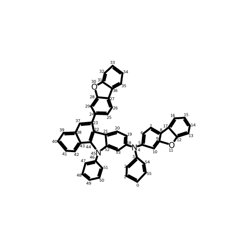 c1ccc(N(c2ccc3c(c2)oc2ccccc23)c2ccc3c4c(-c5ccc6c(c5)oc5ccccc56)cc5ccccc5c4n(-c4ccccc4)c3c2)cc1